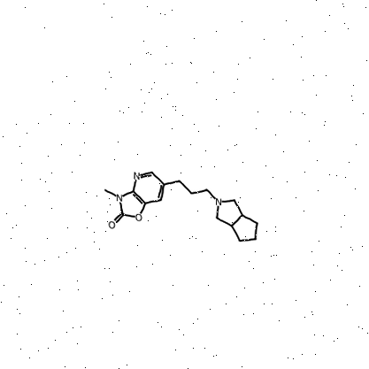 Cn1c(=O)oc2cc(CCCN3CC4CCCC4C3)cnc21